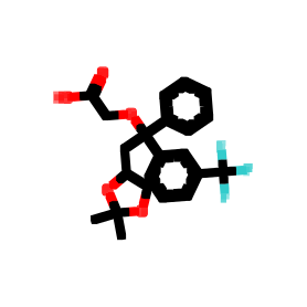 CC1(C)OCC(CC(OCC(=O)O)(c2ccccc2)c2cccc(C(F)(F)F)c2)O1